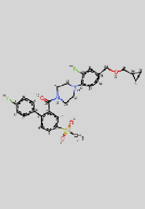 CS(=O)(=O)c1ccc(-c2ccc(F)cc2)c(C(=O)N2CCN(c3ccc(COCC4CC4)cc3F)CC2)c1